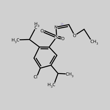 CCO/C=N\S(=O)(=O)c1cc(C(C)C)c(Cl)cc1C(C)C